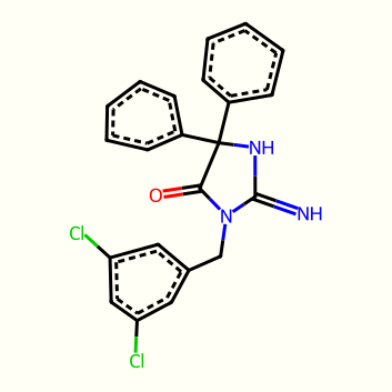 N=C1NC(c2ccccc2)(c2ccccc2)C(=O)N1Cc1cc(Cl)cc(Cl)c1